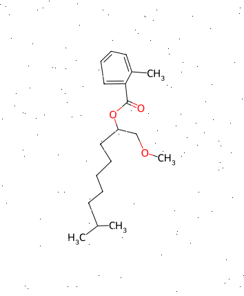 COCC(CCCCCC(C)C)OC(=O)c1ccccc1C